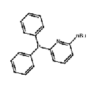 CCCCc1cccc(P(c2ccccc2)c2ccccc2)n1